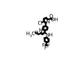 COCc1cc(Nc2ccc(C(F)(F)F)cc2)c2ccc(-c3nc(C(=O)O)ccc3Cl)cc2n1